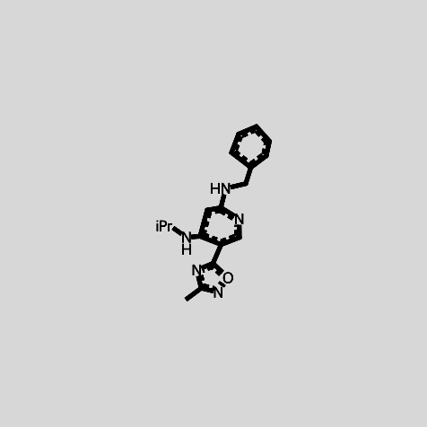 Cc1noc(-c2cnc(NCc3ccccc3)cc2NC(C)C)n1